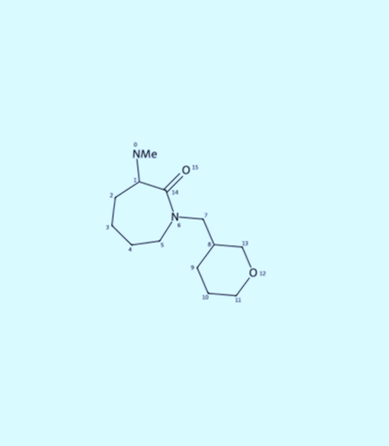 CNC1CCCCN(CC2CCCOC2)C1=O